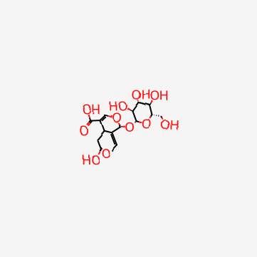 C/C=C1\C(CC(=O)O)C(C(=O)O)=CO[C@H]1O[C@H]1O[C@@H](CO)[C@H](O)[C@@H](O)[C@@H]1O